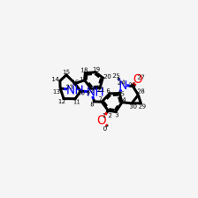 COc1cc2c(cc1CNC1CCC3CCC1(c1ccccc1)N3)N(C)C(=O)C1CC21